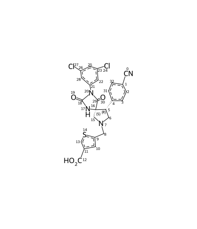 N#Cc1ccc([C@@H]2CN(Cc3cc(C(=O)O)cs3)C[C@@]23NC(=O)N(c2cc(Cl)cc(Cl)c2)C3=O)cc1